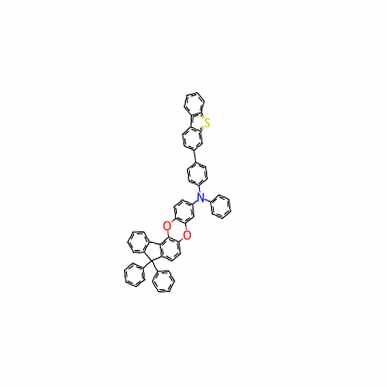 c1ccc(N(c2ccc(-c3ccc4c(c3)sc3ccccc34)cc2)c2ccc3c(c2)Oc2ccc4c(c2O3)-c2ccccc2C4(c2ccccc2)c2ccccc2)cc1